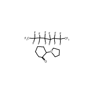 FC(F)(F)C(F)(F)C(F)(F)C(F)(F)C(F)(F)C(F)(F)C(F)(F)C(F)(F)F.O=C1CCCCC1[S+]1CCCC1